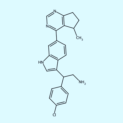 CC1CCc2ncnc(-c3ccc4c(C(CN)c5ccc(Cl)cc5)c[nH]c4c3)c21